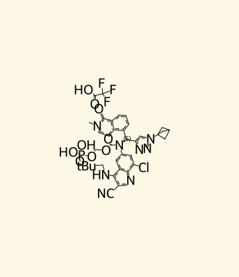 Cn1ccc2c([C@@H](c3cn(C45CC(C4)C5)nn3)N(C(=O)OCOP(=O)(O)O)c3cc(Cl)c4ncc(C#N)c(NCC(C)(C)C)c4c3)cccc2c1=O.O=C(O)C(F)(F)F